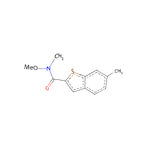 CON(C)C(=O)c1cc2ccc(C)cc2s1